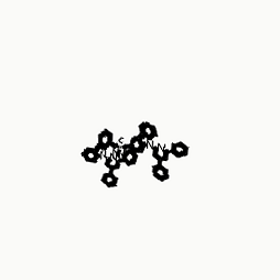 c1ccc(-c2cc(-c3ccccc3)nc(-n3c4ccccc4c4cc(-c5nnc(-c6cccc7c8ccccc8n(-c8cc(-c9ccccc9)cc(-c9ccccc9)n8)c67)s5)ccc43)c2)cc1